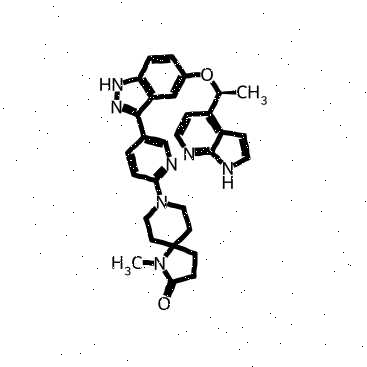 C[C@H](Oc1ccc2[nH]nc(-c3ccc(N4CCC5(CCC(=O)N5C)CC4)nc3)c2c1)c1ccnc2[nH]ccc12